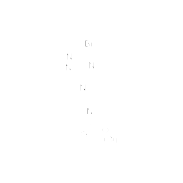 Cn1c(Br)nnc1N1CCN(C(=O)OC(C)(C)C)CC1